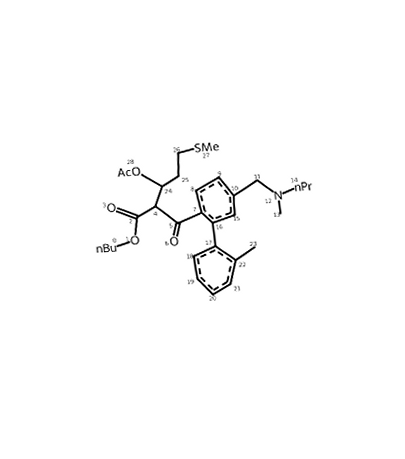 CCCCOC(=O)C(C(=O)c1ccc(CN(C)CCC)cc1-c1ccccc1C)C(CCSC)OC(C)=O